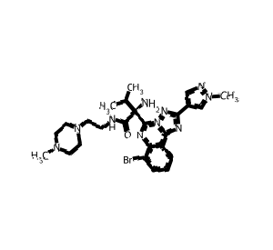 CC(C)[C@@](N)(C(=O)NCCN1CCN(C)CC1)c1nc2c(Br)cccc2c2nc(-c3cnn(C)c3)nn12